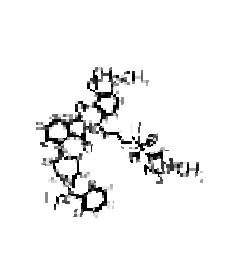 COc1ccc(C(CCCNS(=O)(=O)c2cn(C)cn2)N2C(=O)c3cccc(N4CCN([C@H](C)c5ccccc5)CC4)c3C2=O)cc1OC